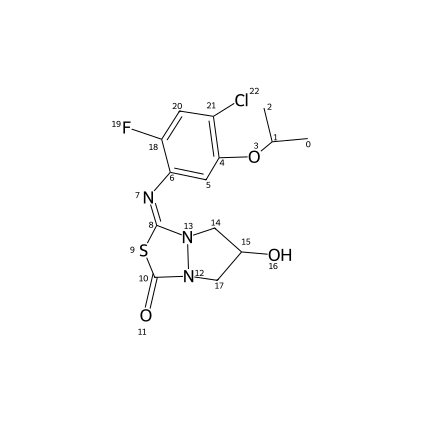 CC(C)Oc1cc(/N=c2/sc(=O)n3n2CC(O)C3)c(F)cc1Cl